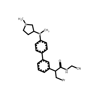 CC(C)CC(C(=O)NCC#N)c1cccc(-c2ccc(N(C)C3CCN(C)C3)cc2)c1